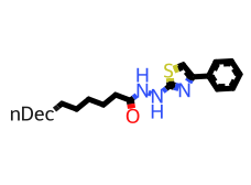 CCCCCCCCCCCCCCCC(=O)NNc1nc(-c2ccccc2)cs1